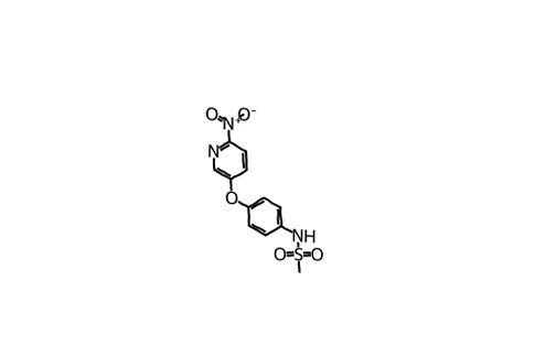 CS(=O)(=O)Nc1ccc(Oc2ccc([N+](=O)[O-])nc2)cc1